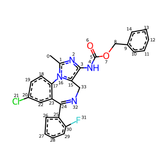 Cc1nc(NC(=O)OCc2ccccc2)c2n1-c1ccc(Cl)cc1C(c1ccccc1F)=NC2